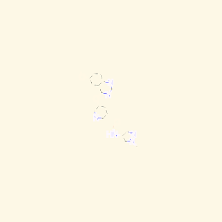 COc1ccc2ncnc(Oc3cnc(C(C)C(=O)Nc4cnn(C(C)(C)C)c4)c(F)c3)c2c1